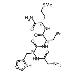 CSCC[C@H](NC(=O)[C@H](CC(C)C)NC(=O)[C@H](Cc1cnc[nH]1)NC(=O)CN)C(N)=O